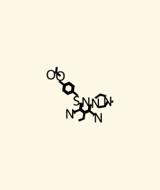 CCc1c(C#N)c(SCc2ccc(COC(C)=O)cc2)nc(N2CCCN(C)CC2)c1C#N